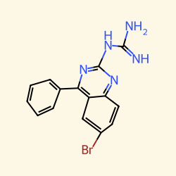 N=C(N)Nc1nc(-c2ccccc2)c2cc(Br)ccc2n1